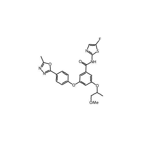 COCC(C)Oc1cc(Oc2ccc(-c3nnc(C)o3)cc2)cc(C(=O)Nc2ncc(F)s2)c1